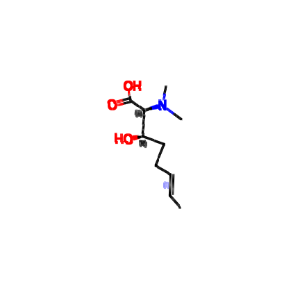 C/C=C/CC[C@@H](O)[C@@H](C(=O)O)N(C)C